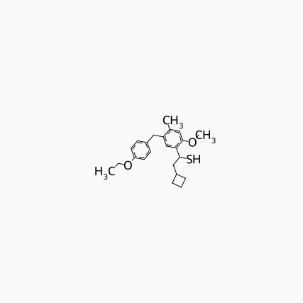 CCOc1ccc(Cc2cc(C(S)CC3CCC3)c(OC)cc2C)cc1